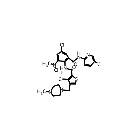 CN1CCN(Cc2csc(C(=O)Nc3c(C(=O)Nc4ccc(Cl)cn4)cc(Cl)cc3N(C)C)c2Cl)CC1